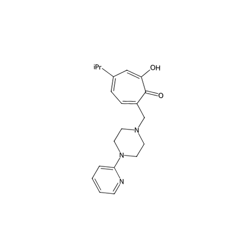 CC(C)c1ccc(CN2CCN(c3ccccn3)CC2)c(=O)c(O)c1